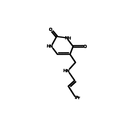 CC(C)C=CNCc1c[nH]c(=O)[nH]c1=O